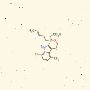 CC=CCCC1(CC(=O)O)OCCc2c1[nH]c1c(Cl)ccc(C(F)(F)F)c21